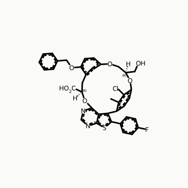 Cc1c2ccc(c1Cl)O[C@H](CO)COc1ccc(OCc3ccccc3)c(c1)C[C@H](C(=O)O)Oc1ncnc3sc(-c4ccc(F)cc4)c-2c13